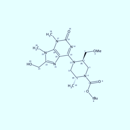 COC[C@H]1CN(C(=O)OC(C)(C)C)[C@H](C)CN1c1nc(=O)n(C)c2c1nc(CO)n2C